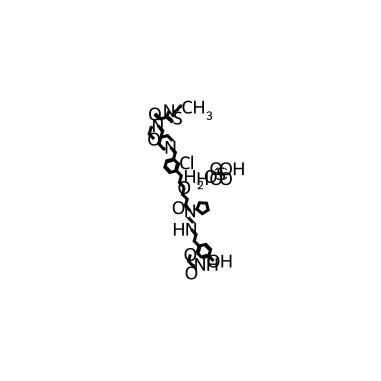 CCc1nc(C(=O)N2CCOC3(CCN(Cc4cccc(CCOCCC(=O)N(CCNCCc5ccc(O)c6c5OCC(=O)N6)C5CCCC5)c4Cl)CC3)C2)cs1.O.O=S(=O)(O)O